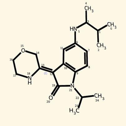 CC(C)C(C)Nc1ccc2c(c1)/C(=C1\COCCN1)C(=O)N2C(C)C